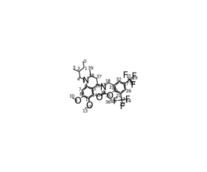 CCC(C)CN1c2cc(OC)c(OC)cc2C(N(Cc2cc(C(F)(F)F)cc(C(F)(F)F)c2)C(=O)OC)CC1C